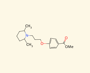 COC(=O)c1ccc(OCCCN2C(C)CCCC2C)cc1